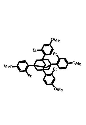 CCc1cc(OC)ccc1C12CC3(c4ccc(OC)cc4CC)CC(c4ccc(OC)cc4CC)(C1)CC(c1ccc(OC)cc1CC)(C2)C3